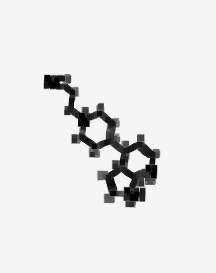 N#CCCN1CC=C(c2ccnc3[nH]ccc23)CC1